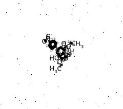 CCOC(=O)[C@]1(O)C[C@H](c2ccc([N+](=O)[O-])cc2)C[C@](O)(C(=O)OCC)[C@H]1[N+](=O)[O-]